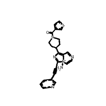 N[N+]12C=CN=CC1=C(C1CCN(C(=O)c3ccsc3)CC1)N=C2C#Cc1cccnc1